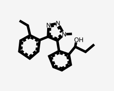 CCc1ccccc1-c1nnn(C)c1-c1ccccc1C(O)CC